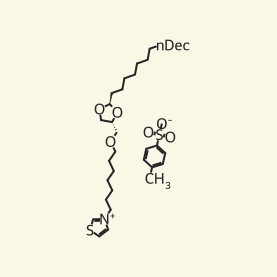 CCCCCCCCCCCCCCCCC[C@@H]1OC[C@@H](COCCCCCCC[n+]2ccsc2)O1.Cc1ccc(S(=O)(=O)[O-])cc1